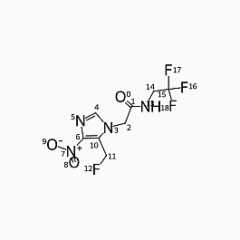 O=C(Cn1cnc([N+](=O)[O-])c1CF)NCC(F)(F)F